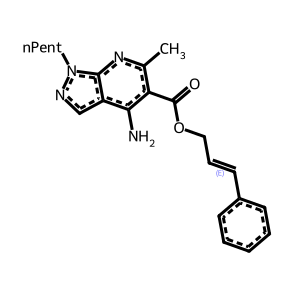 CCCCCn1ncc2c(N)c(C(=O)OC/C=C/c3ccccc3)c(C)nc21